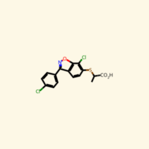 CC(Sc1ccc2c(-c3ccc(Cl)cc3)noc2c1Cl)C(=O)O